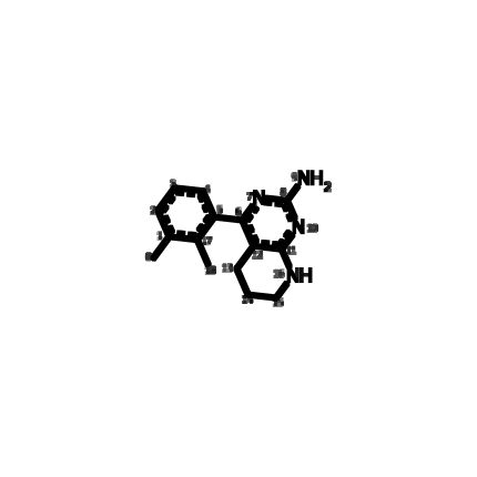 Cc1cccc(-c2nc(N)nc3c2CCCN3)c1C